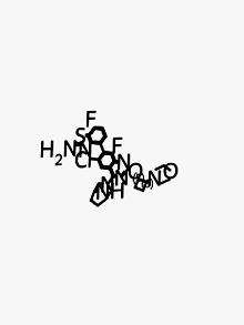 Nc1nc2c(-c3c(Cl)cc4c(N5CC6CCC(C5)N6)nc(O[C@H]5CC[C@@H]5N5CCOCC5)nc4c3F)ccc(F)c2s1